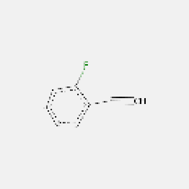 C#Cc1cc[c]cc1F